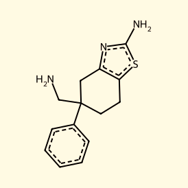 NCC1(c2ccccc2)CCc2sc(N)nc2C1